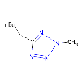 CCCCCc1nnn(C)n1